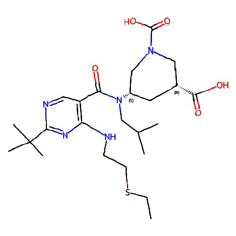 CCSCCNc1nc(C(C)(C)C)ncc1C(=O)N(CC(C)C)[C@H]1C[C@@H](C(=O)O)CN(C(=O)O)C1